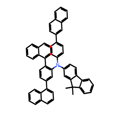 CC1(C)c2ccccc2-c2ccc(N(c3ccc(-c4ccc5ccccc5c4)cc3)c3cc(-c4cccc5ccccc45)ccc3-c3cccc4ccccc34)cc21